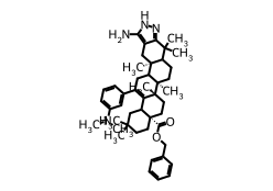 CN(C)c1cccc(C2=C3C4CC(C)(C)CC[C@]4(C(=O)OCc4ccccc4)CC[C@@]3(C)[C@]3(C)CCC4C(C)(C)c5n[nH]c(N)c5C[C@]4(C)C3C2)c1